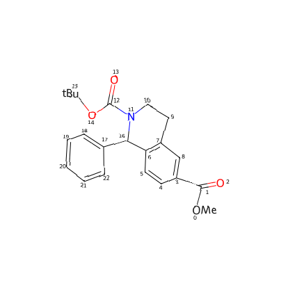 COC(=O)c1ccc2c(c1)CCN(C(=O)OC(C)(C)C)C2c1ccccc1